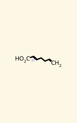 C=CCC/C=C/C(=O)O